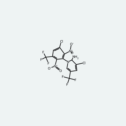 NC1C(Cl)=CC(C(F)(F)F)=CN1c1c([N+](=O)[O-])c(Cl)cc(C(F)(F)F)c1[N+](=O)[O-]